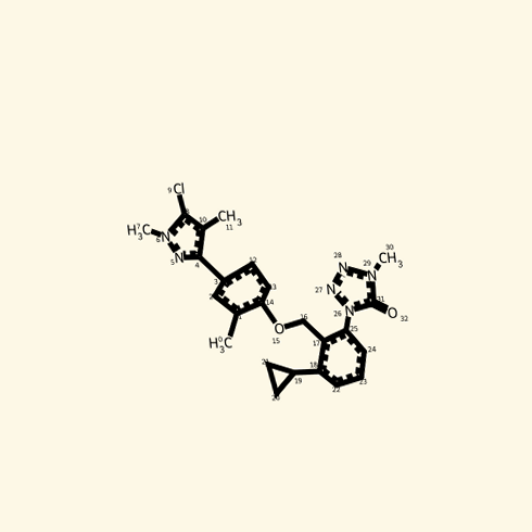 Cc1cc(-c2nn(C)c(Cl)c2C)ccc1OCc1c(C2CC2)cccc1-n1nnn(C)c1=O